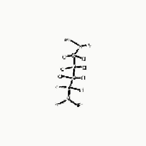 CC(C)N(C(C)C)[Si](Cl)(Cl)[Si](Cl)(Cl)[Si](Cl)(Cl)[Si](Cl)(Cl)N(C(C)C)C(C)C